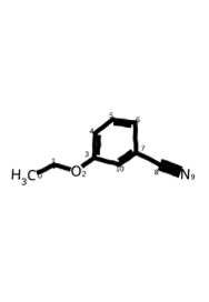 C[CH]Oc1cccc(C#N)c1